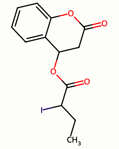 CCC(I)C(=O)OC1CC(=O)Oc2ccccc21